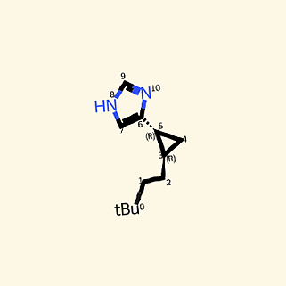 CC(C)(C)CC[C@@H]1C[C@H]1c1c[nH]cn1